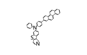 c1ccc(N(c2ccc(-c3ccc4c(ccc5c6ccccc6ccc45)c3)cc2)c2ccc3c(c2)sc2ccncc23)cc1